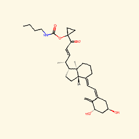 C=C1/C(=C\C=C2/CCC[C@]3(C)[C@@H]([C@H](C)/C=C/C(=O)C4(OC(=O)NCCCC)CC4)CC[C@@H]23)C[C@@H](O)C[C@@H]1O